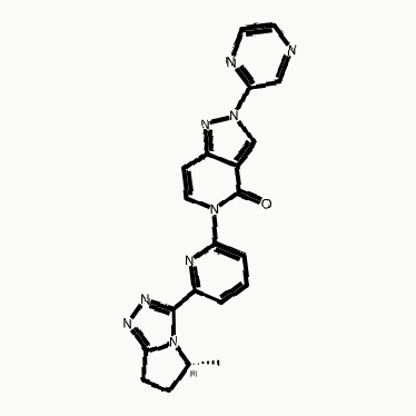 C[C@@H]1CCc2nnc(-c3cccc(-n4ccc5nn(-c6cnccn6)cc5c4=O)n3)n21